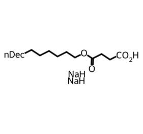 CCCCCCCCCCCCCCCCOC(=O)CCC(=O)O.[NaH].[NaH]